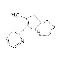 CC1=C(c2ccccn2)c2ccccc2[CH]1